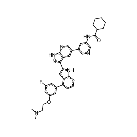 CN(C)CCOc1cc(F)cc(-c2cccc3[nH]c(-c4n[nH]c5ncc(-c6cncc(NC(=O)C7CCCCC7)c6)cc45)cc23)c1